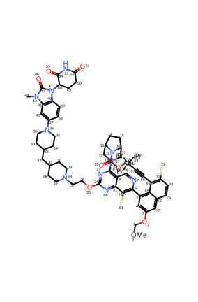 COCOc1cc(-c2ncc3c(N4CC5CCC(C4)N5C(=O)OC(C)(C)C)nc(OCCN4CCC(CC5CCN(c6ccc7c(c6)n(C)c(=O)n7C6CCC(=O)NC6=O)CC5)CC4)nc3c2F)c2c(C#C[Si](C(C)C)(C(C)C)C(C)C)c(F)ccc2c1